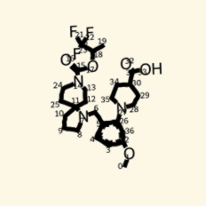 COc1ccc(CN2CCCC23CCN(C(=O)OC(C)C(F)(F)F)CC3)c(N2CCC(C(=O)O)CC2)c1